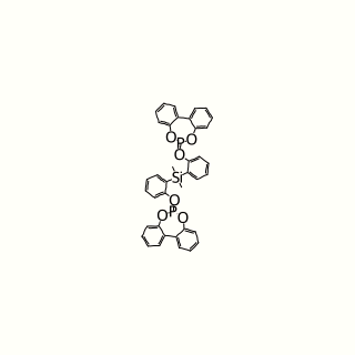 C[Si](C)(c1ccccc1Op1oc2ccccc2c2ccccc2o1)c1ccccc1Op1oc2ccccc2c2ccccc2o1